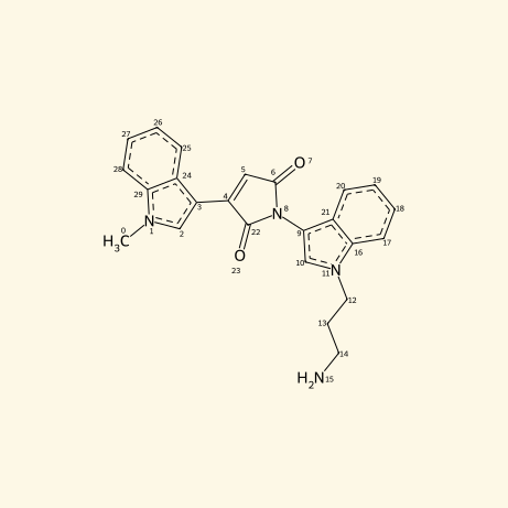 Cn1cc(C2=CC(=O)N(c3cn(CCCN)c4ccccc34)C2=O)c2ccccc21